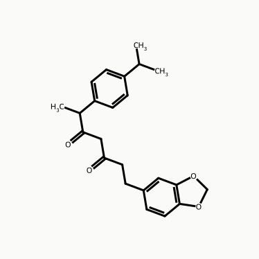 CC(C)c1ccc(C(C)C(=O)CC(=O)CCc2ccc3c(c2)OCO3)cc1